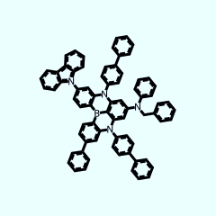 c1ccc(CN(c2ccccc2)c2cc3c4c(c2)N(c2ccc(-c5ccccc5)cc2)c2cc(-n5c6ccccc6c6ccccc65)ccc2B4c2ccc(-c4ccccc4)cc2N3c2ccc(-c3ccccc3)cc2)cc1